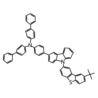 CC(C)(C)c1ccc2sc3ccc(-n4c5ccccc5c5cc(-c6ccc(N(c7ccc(-c8ccccc8)cc7)c7ccc(-c8ccccc8)cc7)cc6)ccc54)cc3c2c1